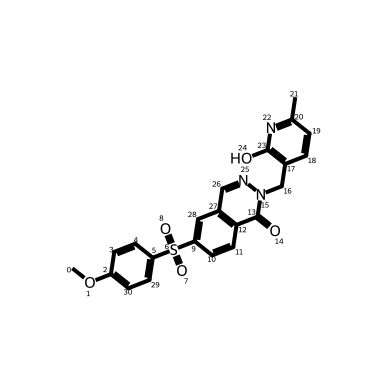 COc1ccc(S(=O)(=O)c2ccc3c(=O)n(Cc4ccc(C)nc4O)ncc3c2)cc1